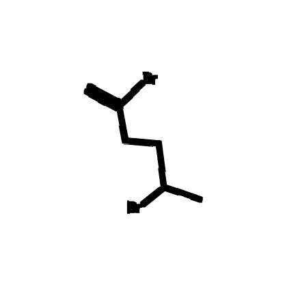 C=C(Br)CCC(C)Br